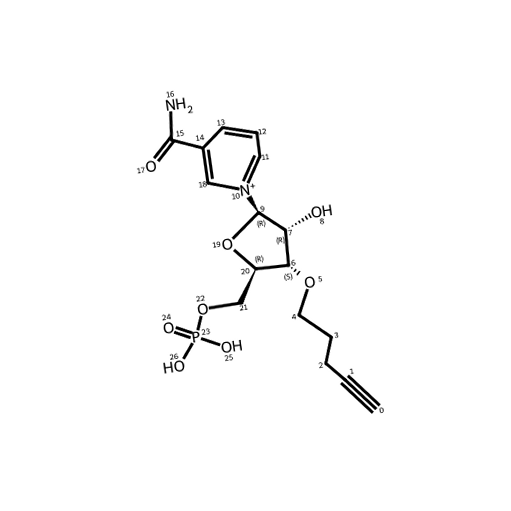 C#CCCCO[C@H]1[C@@H](O)[C@H]([n+]2cccc(C(N)=O)c2)O[C@@H]1COP(=O)(O)O